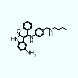 CCCCNCc1ccc(NC(=C2C(=O)Nc3ccc(N)cc32)c2ccccc2)cc1